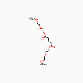 CCCCCCOCCOCCOC(=O)CCCC(=O)OCCOCCOCCCCCC